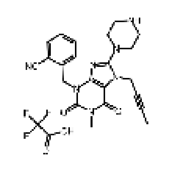 CC#CCn1c(N2CCNCC2)nc2c1c(=O)n(C)c(=O)n2Cc1ccccc1C#N.O=C(O)C(F)(F)F